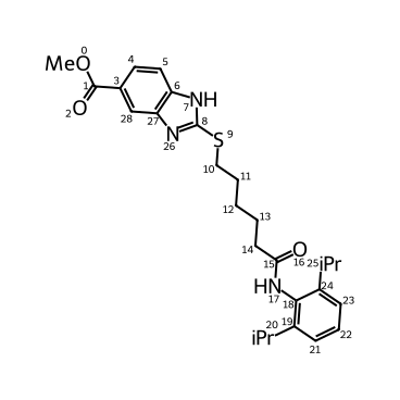 COC(=O)c1ccc2[nH]c(SCCCCCC(=O)Nc3c(C(C)C)cccc3C(C)C)nc2c1